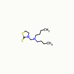 CCCCN(CCCC)CN1CCSC1=S